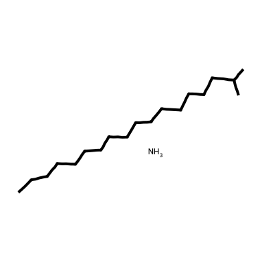 CCCCCCCCCCCCCCCCC(C)C.N